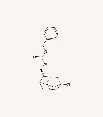 O=C(NN=C1C2CC3CC1CC(Cl)(C3)C2)OCc1ccccc1